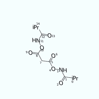 CC(C)C(=O)NOC(=O)CC(=O)ONC(=O)C(C)C